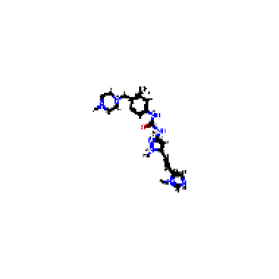 CN1CCN(Cc2ccc(NC(=O)Nc3cc(C#Cc4cncn4C)n(C)n3)cc2C(F)(F)F)CC1